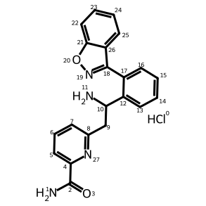 Cl.NC(=O)c1cccc(CC(N)c2ccccc2-c2noc3ccccc23)n1